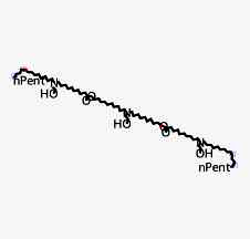 CCCCC/C=C\C/C=C\CCCCCCCCN(CCO)CCCCCCCCCC(=O)OCCCCCCCCCCN(CCO)CCCCCCCCCCOC(=O)CCCCCCCCCN(CCO)CCCCCCCC/C=C\C/C=C\CCCCC